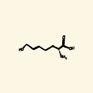 N[C@H](CCCCCO)C(=O)O